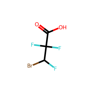 O=C(O)C(F)(F)C(F)Br